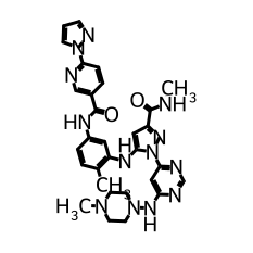 CNC(=O)c1cc(Nc2cc(NC(=O)c3ccc(-n4cccn4)nc3)ccc2C)n(-c2cc(NN3CCN(C)CC3)ncn2)n1